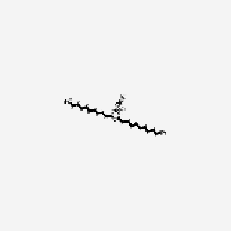 CC(C)CCCCCCCCCCOCCCCCCCCCCC(C)C.O=P([O-])([O-])[O-].[K+].[K+].[K+]